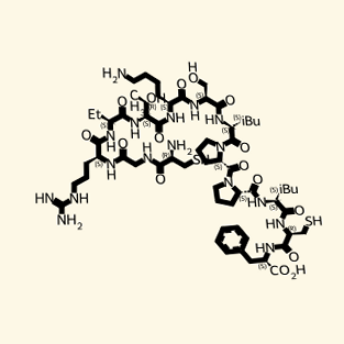 CC[C@H](NC(=O)[C@H](CCCNC(=N)N)NC(=O)CNC(=O)[C@@H](N)CS)C(=O)N[C@H](C(=O)N[C@@H](CCCCN)C(=O)N[C@@H](CO)C(=O)N[C@H](C(=O)N1CCC[C@H]1C(=O)N1CCC[C@H]1C(=O)N[C@H](C(=O)N[C@@H](CS)C(=O)N[C@@H](Cc1ccccc1)C(=O)O)[C@@H](C)CC)[C@@H](C)CC)[C@@H](C)O